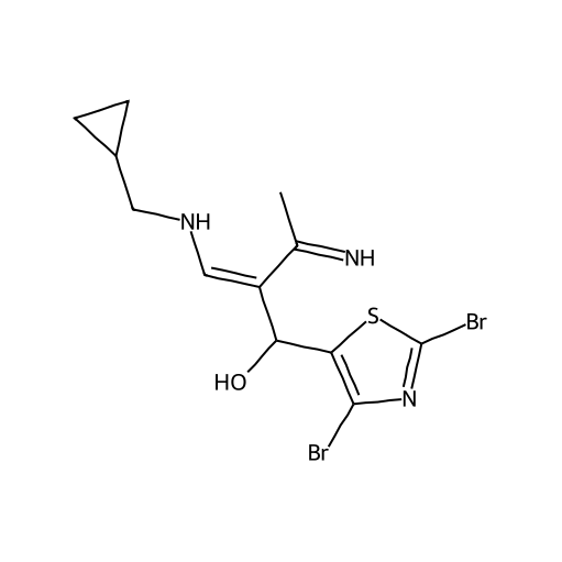 CC(=N)/C(=C\NCC1CC1)C(O)c1sc(Br)nc1Br